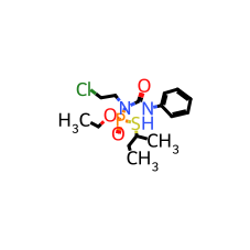 CCOP(=O)(SC(C)CC)N(CCCl)C(=O)Nc1ccccc1